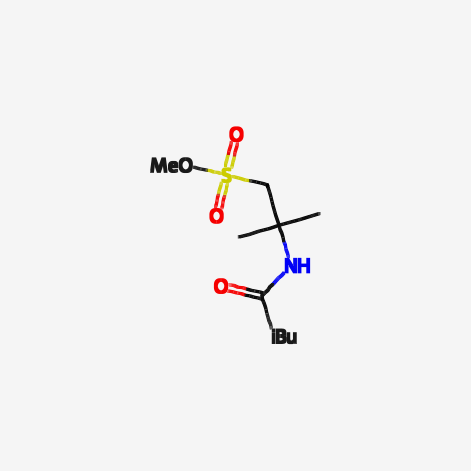 CCC(C)C(=O)NC(C)(C)CS(=O)(=O)OC